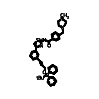 CN1CCN(Cc2ccc(C(=O)Nc3nc(-c4cccc(C#CCO[Si](c5ccccc5)(c5ccccc5)C(C)(C)C)c4)cs3)cc2)CC1